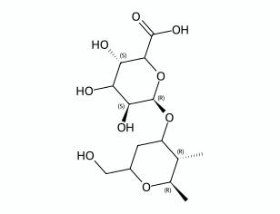 C[C@H]1OC(CO)CC(O[C@@H]2OC(C(=O)O)[C@@H](O)C(O)[C@@H]2O)[C@@H]1C